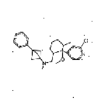 COC1(c2ccnc(Cl)c2)C(C)CCCC1CN(C)C12CC(c3ccccc3)(C1)C2